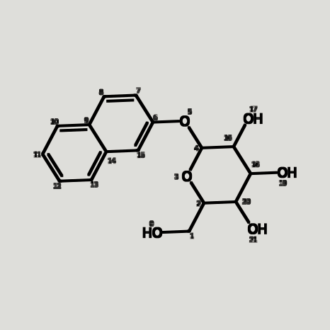 OCC1OC(Oc2ccc3ccccc3c2)C(O)C(O)C1O